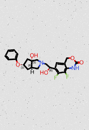 O=C1Nc2c(cc([C@@H](O)CN3C[C@H]4C[C@H](Oc5ccccc5)C[C@@]4(O)C3)c(F)c2F)CO1